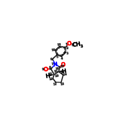 COc1ccc(CN2C(=O)[C@H]3CCCC[C@H]3C2=O)cc1